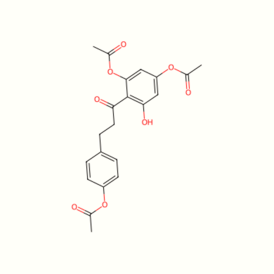 CC(=O)Oc1ccc(CCC(=O)c2c(O)cc(OC(C)=O)cc2OC(C)=O)cc1